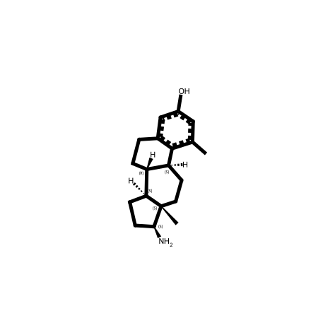 Cc1cc(O)cc2c1[C@H]1CC[C@]3(C)[C@@H](N)CC[C@H]3[C@@H]1CC2